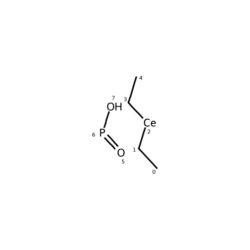 C[CH2][Ce][CH2]C.O=PO